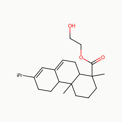 CC(C)C1=CC2=CCC3C(C)(C(=O)OCCO)CCCC3(C)C2CC1